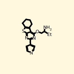 CCC(N)COc1nc(-c2ccncc2)nc2sc3c(c12)CCCC3